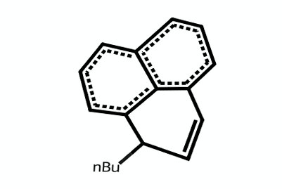 [CH2]CCCC1C=Cc2cccc3cccc1c23